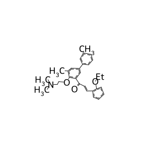 CCOc1ccccc1/C=C/C(=O)c1cc(-c2cccc(C)c2)cc(C)c1OCCN(C)C